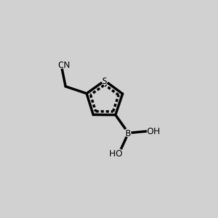 N#CCc1cc(B(O)O)cs1